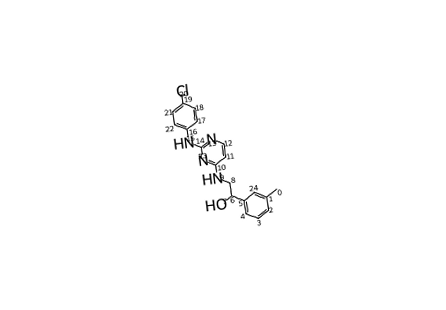 Cc1cccc(C(O)CNc2ccnc(Nc3ccc(Cl)cc3)n2)c1